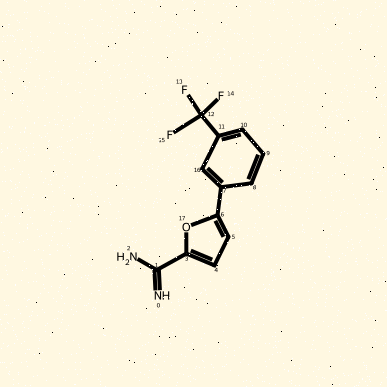 N=C(N)c1ccc(-c2cccc(C(F)(F)F)c2)o1